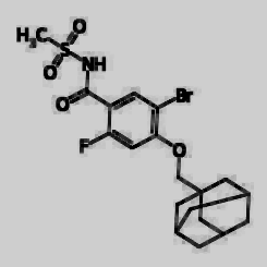 CS(=O)(=O)NC(=O)c1cc(Br)c(OCC23CC4CC(CC(C4)C2)C3)cc1F